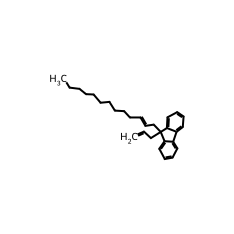 C=CCC1(C/C=C/CCCCCCCCCC)c2ccccc2-c2ccccc21